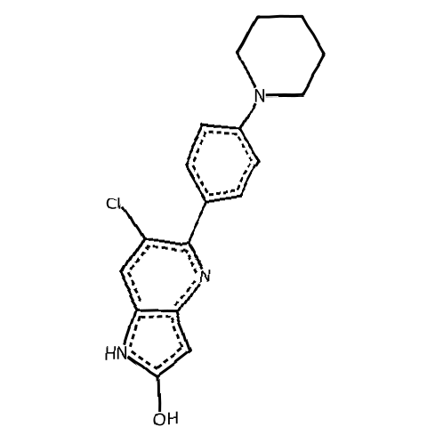 Oc1cc2nc(-c3ccc(N4CCCCC4)cc3)c(Cl)cc2[nH]1